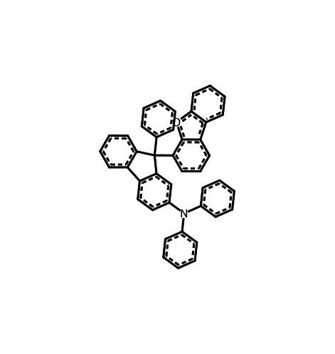 c1ccc(N(c2ccccc2)c2ccc3c(c2)C(c2ccccc2)(c2cccc4c2oc2ccccc24)c2ccccc2-3)cc1